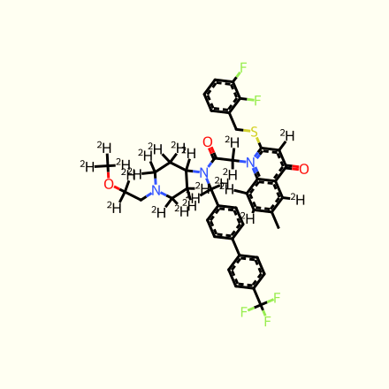 [2H]c1c(C)c([2H])c2c(=O)c([2H])c(SCc3cccc(F)c3F)n(C([2H])([2H])C(=O)N(C([2H])([2H])c3ccc(-c4ccc(C(F)(F)F)cc4)cc3)C3([2H])C([2H])([2H])C([2H])([2H])N(CC([2H])([2H])OC([2H])([2H])[2H])C([2H])([2H])C3([2H])[2H])c2c1[2H]